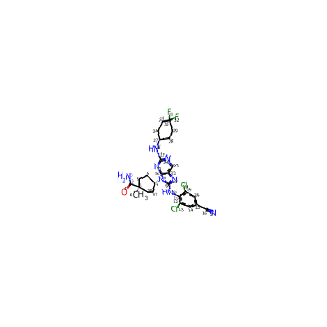 C[C@]1(C(N)=O)CC[C@H](n2c(Nc3c(Cl)cc(C#N)cc3Cl)nc3cnc(NC4CCC(F)(F)CC4)nc32)CC1